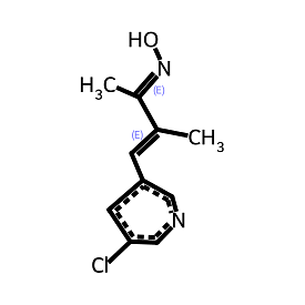 CC(=C\c1cncc(Cl)c1)/C(C)=N/O